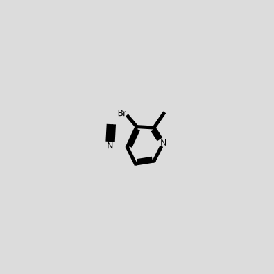 C#N.Cc1ncccc1Br